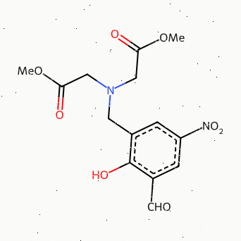 COC(=O)CN(CC(=O)OC)Cc1cc([N+](=O)[O-])cc(C=O)c1O